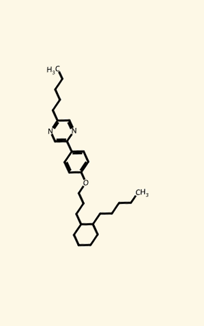 CCCCCc1cnc(-c2ccc(OCCCC3CCCCC3CCCCC)cc2)cn1